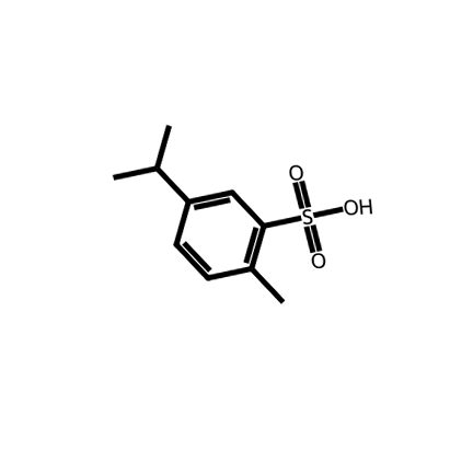 Cc1ccc(C(C)C)cc1S(=O)(=O)O